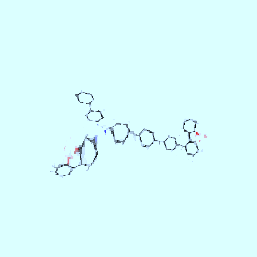 c1ccc(-c2ccc(N(c3ccc(-c4ccc(-c5ccc(-c6cccc7oc8ccccc8c67)cc5)cc4)cc3)c3ccc4c(c3)oc3ccccc34)cc2)cc1